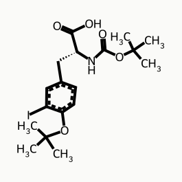 CC(C)(C)OC(=O)N[C@H](Cc1ccc(OC(C)(C)C)c(I)c1)C(=O)O